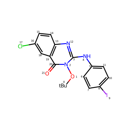 CC(C)(C)On1c(Nc2ccc(I)cc2)nc2ccc(Cl)cc2c1=O